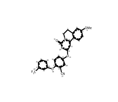 COc1ccc2c(c1)CCn1c-2cc(Oc2ccc(Oc3cccc(C(F)(F)F)c3)c(C#N)c2)nc1=O